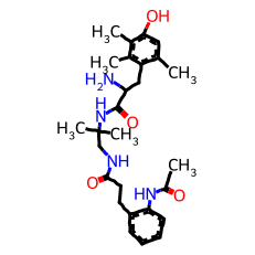 CC(=O)Nc1ccccc1CCC(=O)NCC(C)(C)NC(=O)C(N)Cc1c(C)cc(O)c(C)c1C